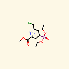 CCOP(=O)(OCC)C(CCCF)C[C@H](N)C(=O)OC